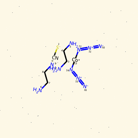 N#C[S-].NCCN.NCCN.[N-]=[N+]=[N][Co+][N]=[N+]=[N-]